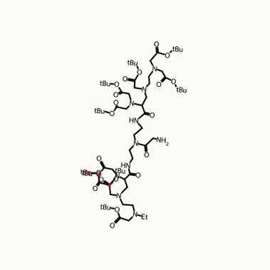 CCN(CCN(CC(=O)OC(C)(C)C)CC(C(=O)NCCN(CCNC(=O)C(CN(CCN(CC(=O)OC(C)(C)C)CC(=O)OC(C)(C)C)CC(=O)OC(C)(C)C)N(CC(=O)OC(C)(C)C)CC(=O)OC(C)(C)C)C(=O)CN)N(CC(=O)OC(C)(C)C)CC(=O)OC(C)(C)C)CC(=O)OC(C)(C)C